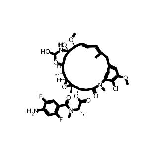 COc1cc2cc(c1Cl)N(C)C(=O)C[C@H](OC(=O)[C@H](C)N(C)C(=O)c1cc(F)c(N)cc1F)[C@]1(C)O[C@H]1[C@H](C)[C@@H]1C[C@@](O)(NC(O)O1)[C@H](OC)/C=C/C=C(\C)C2